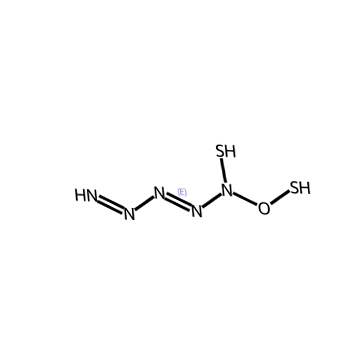 N=N/N=N/N(S)OS